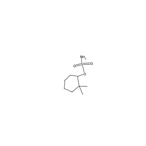 CC1(C)CCCCC1OS(N)(=O)=O